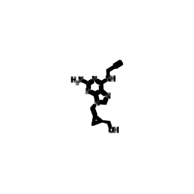 C#CCNc1nc(N)nc2c1ncn2/C=C1/C[C@@H]1CO